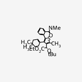 CCOC(=O)C(OC(C)(C)C)c1c(C)sc(-c2ccccc2C(=O)NC)c1C1=CCC(C)(C)CC1